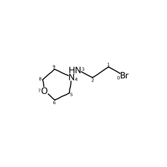 BrCCNN1CCOCC1